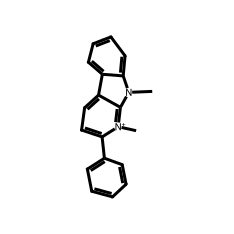 Cn1c2ccccc2c2ccc(-c3ccccc3)[n+](C)c21